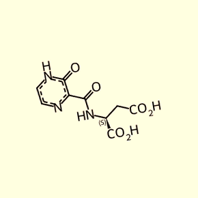 O=C(O)C[C@H](NC(=O)c1ncc[nH]c1=O)C(=O)O